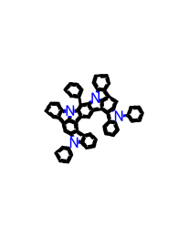 c1ccc(-c2c3c(cc4c5c6c7ccccc7n(-c7ccccc7)c6cc6c7ccccc7n(c24)c65)c2c4c5ccccc5n(-c5ccccc5)c4cc4c5ccccc5n3c42)cc1